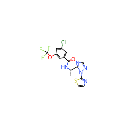 C[C@H](NC(=O)c1cc(Cl)cc(OC(F)(F)F)c1)c1ncnn1-c1nccs1